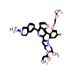 C=CC(=O)N1Cc2cc(-c3nc(-c4ccc5c(c4)CCN(C)C5)c4ccsc4c3-c3c(F)cc(F)cc3OCCOC)nn2CC1C